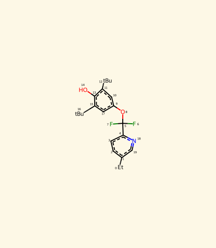 CCc1ccc(C(F)(F)Oc2cc(C(C)(C)C)c(O)c(C(C)(C)C)c2)nc1